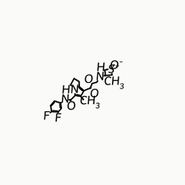 Cc1c(C(=O)C(=O)CN[C@]2(C)C[S@@+]([O-])C2)c2n(c1C(=O)Nc1ccc(F)c(F)c1)CCC2